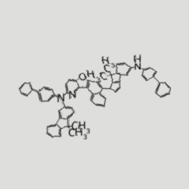 CC1(C)C2=C(C=CC2c2cc3oc4ccc(N(c5ccc(-c6ccccc6)cc5)c5ccc6c(c5)-c5ccccc5C6(C)C)nc4c3c3ccccc23)c2cc(Nc3ccc(-c4ccccc4)cc3)ccc21